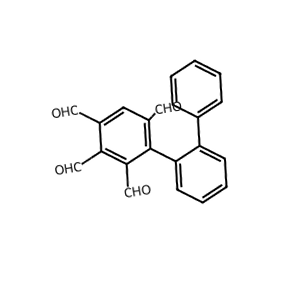 O=Cc1cc(C=O)c(-c2ccccc2-c2ccccc2)c(C=O)c1C=O